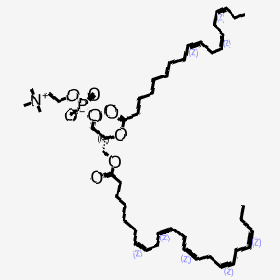 CC/C=C\C/C=C\C/C=C\C/C=C\C/C=C\CCCCCC(=O)OC[C@H](COP(=O)([O-])OCC[N+](C)(C)C)OC(=O)CCCCCCC/C=C\C/C=C\C/C=C\CC